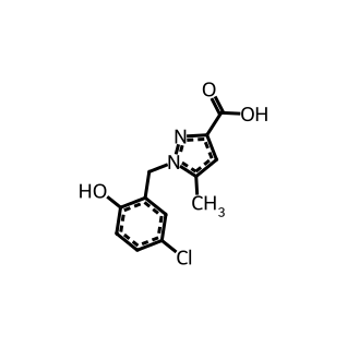 Cc1cc(C(=O)O)nn1Cc1cc(Cl)ccc1O